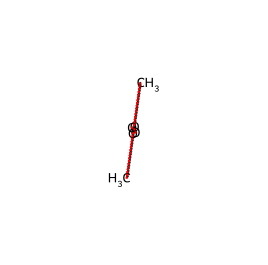 CCCCCCCCCCCCCCCCCCCCCCCCCCCCCCCCOC(=O)/C=C/C(=O)OCCCCCCCCCCCCCCCCCCCCCCCCCCCCCCCC